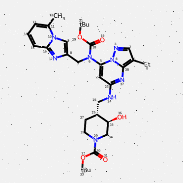 CCc1cnn2c(N(Cc3cn4c(C)cccc4n3)C(=O)OC(C)(C)C)cc(NC[C@H]3CCN(C(=O)OC(C)(C)C)C[C@@H]3O)nc12